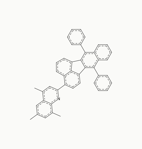 Cc1cc(C)c2nc(-c3ccc4c5c(cccc35)-c3c-4c(-c4ccccc4)c4ccccc4c3-c3ccccc3)cc(C)c2c1